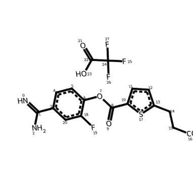 N=C(N)c1ccc(OC(=O)c2ccc(CCC(=O)O)s2)c(F)c1.O=C(O)C(F)(F)F